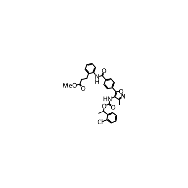 COC(=O)CCc1ccccc1NC(=O)c1ccc(-c2onc(C)c2NC(=O)O[C@H](C)c2ccccc2Cl)cc1